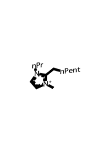 CCCCCCc1n(CCC)cc[n+]1C